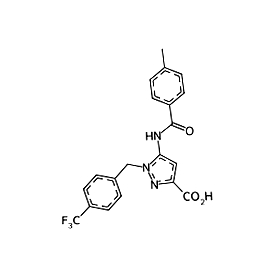 Cc1ccc(C(=O)Nc2cc(C(=O)O)nn2Cc2ccc(C(F)(F)F)cc2)cc1